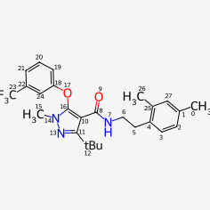 Cc1ccc(CCNC(=O)c2c(C(C)(C)C)nn(C)c2Oc2cccc(C(F)(F)F)c2)c(C)c1